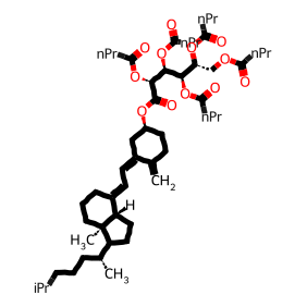 C=C1CC[C@H](OC(=O)[C@H](OC(=O)CCC)[C@@H](OC(=O)CCC)[C@H](OC(=O)CCC)[C@@H](COC(=O)CCC)OC(=O)CCC)C/C1=C/C=C1\CCC[C@]2(C)C([C@H](C)CCCC(C)C)CC[C@@H]12